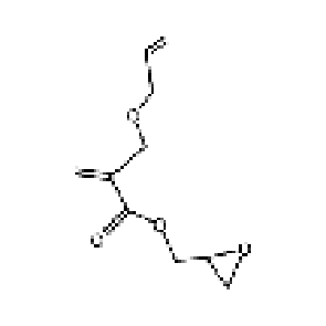 C=CCOCC(=C)C(=O)OCC1CO1